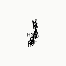 CC1(C)Oc2ccc(OCc3nc4cc(F)c(F)cc4s3)cc2C(O)C1c1cccc(NS(=O)(=O)C(F)(F)F)c1